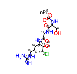 CCCOC(=O)NC(CO)C(=O)NCC(=O)NC(CCCNC(=N)N)C(=O)CCl